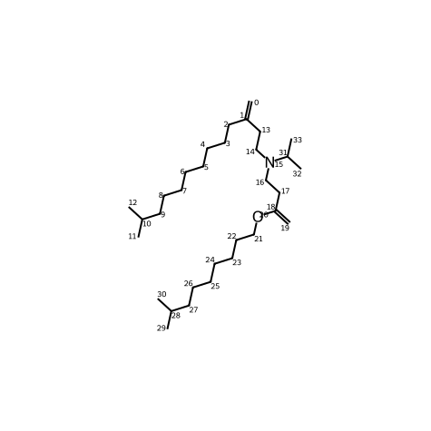 C=C(CCCCCCCCC(C)C)CCN(CCC(=C)OCCCCCCCC(C)C)C(C)C